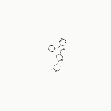 Cc1ccc(-n2c(-c3ccc(N4C[C@@H](C)O[C@@H](C)C4)nc3)nc3ccncc32)nc1